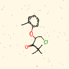 Cc1ccccc1OC(CCl)C(=O)C(C)(C)C